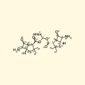 CCCCCCC(OC(=O)[C@@H]1N2C(=O)C(N)[C@H]2SC1(C)C)OC(=O)[C@@H]1N2C(=O)C(N)[C@H]2SC1(C)C